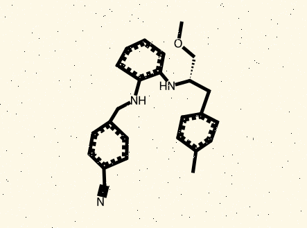 COC[C@H](Cc1ccc(C)cc1)Nc1ccccc1NCc1ccc(C#N)cc1